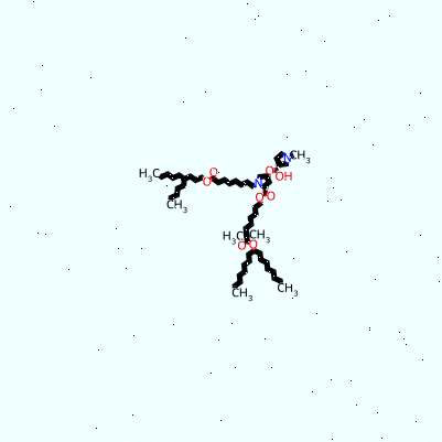 CCCCCCCCC(CCCCCCCC)OC(=O)C(C)(C)CCCCCCOC(=O)[C@@H]1C[C@H](OC(O)[C@@H]2CCN(C)C2)CN1CCCCCCCC(=O)OCCCC(CCCCC)CCCCC